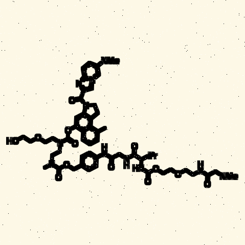 CNCC(=O)NCCOCCOC(=O)NC(C(=O)NCC(=O)Nc1ccc(COC(=O)N(C)CCN(CCOCCO)C(=O)Oc2cc3c(c4c(C)cccc24)CCN3C(=O)c2cn3cc(NC)ccc3n2)cc1)C(C)C